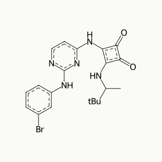 CC(Nc1c(Nc2ccnc(Nc3cccc(Br)c3)n2)c(=O)c1=O)C(C)(C)C